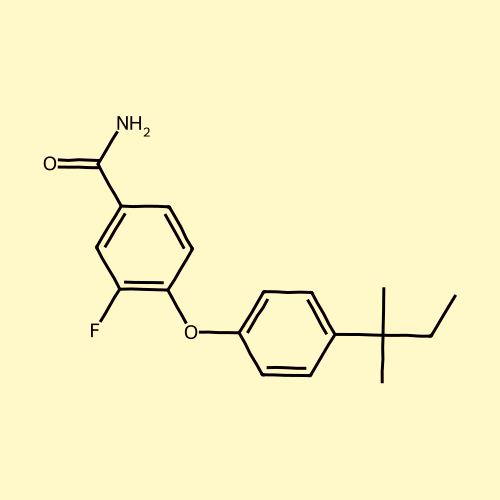 CCC(C)(C)c1ccc(Oc2ccc(C(N)=O)cc2F)cc1